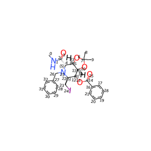 CNC(=O)[C@@H]1[C@H]2OC(C)(C)O[C@H]2[C@H](OC(=O)c2ccccc2)[C@@H](CI)N1Cc1ccccc1